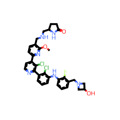 COc1nc(-c2ccnc(-c3cccc(Nc4cccc(CN5CC(O)C5)c4F)c3Cl)c2Cl)ccc1CNCC1CCC(=O)N1